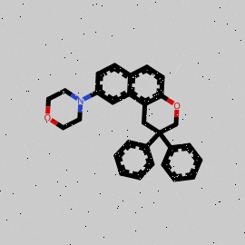 c1ccc(C2(c3ccccc3)COc3ccc4ccc(N5CCOCC5)cc4c3C2)cc1